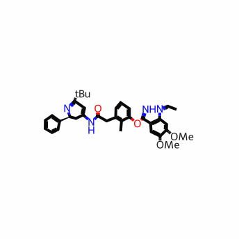 C/C=N\c1cc(OC)c(OC)cc1C(=N)Oc1cccc(CC(=O)NC2=CC(C(C)(C)C)=N[C@H](c3ccccc3)C2)c1C